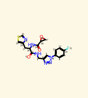 O=C(NCc1cn(-c2ccc(F)cc2)nn1)C(Cc1cscn1)NC(=O)C1CO1